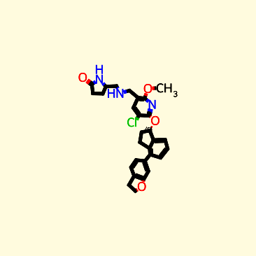 COc1nc(O[C@H]2CCc3c(-c4ccc5c(c4)OCC5)cccc32)c(Cl)cc1CNCC1CCC(=O)N1